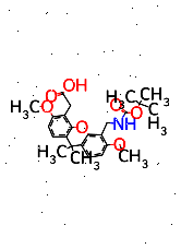 COc1ccc2c(c1CNC(=O)OC(C)(C)C)Oc1c(ccc(OC)c1CC(=O)O)C2(C)C